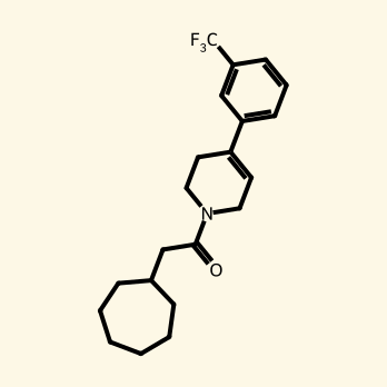 O=C(CC1CCCCCC1)N1CC=C(c2cccc(C(F)(F)F)c2)CC1